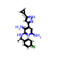 C[C@@H](Nc1nc(N)cc(-c2cc(C3CC3)[nH]n2)c1N)c1ccc(F)cc1